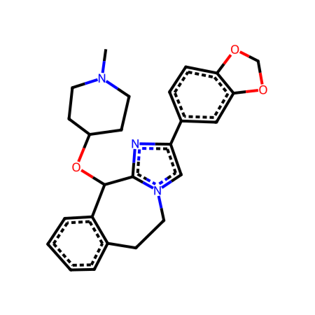 CN1CCC(OC2c3ccccc3CCn3cc(-c4ccc5c(c4)OCO5)nc32)CC1